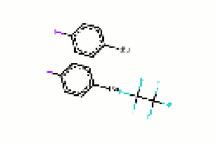 CC(C)(C)c1ccc(I)cc1.CC(C)(C)c1ccc(I)cc1.FC(F)(F)C(F)(F)F